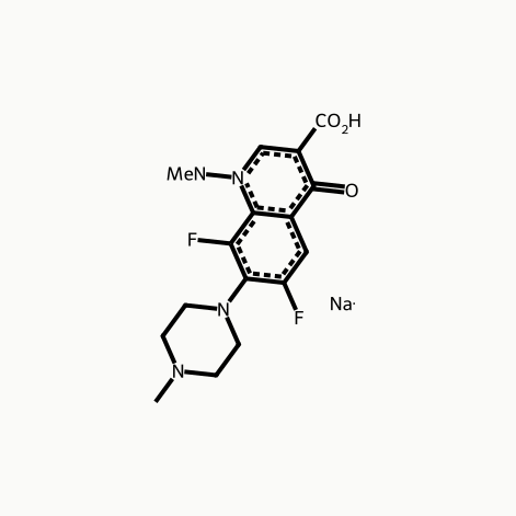 CNn1cc(C(=O)O)c(=O)c2cc(F)c(N3CCN(C)CC3)c(F)c21.[Na]